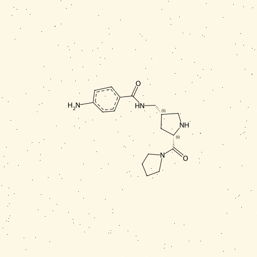 Nc1ccc(C(=O)NC[C@@H]2CN[C@H](C(=O)N3CCCC3)C2)cc1